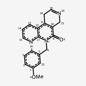 COc1cccc(Cn2c(=O)c3c(c4cccnc42)CC=NC3)c1